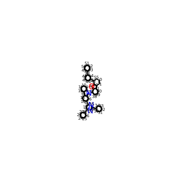 C1=Cc2c(oc3c(-n4c5ccccc5c5ccc(-c6cc(-c7ccccc7)nc(-c7ccccc7)n6)cc54)cccc23)C(c2cccc(-c3ccccc3)c2)C1